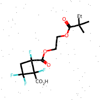 CCC(C)(C)C(=O)OCCOC(=O)C1(F)CC(F)(F)C1(F)C(=O)O